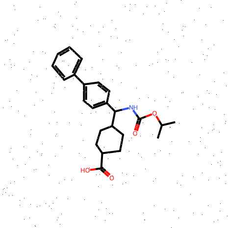 CC(C)OC(=O)NC(c1ccc(-c2ccccc2)cc1)C1CCC(C(=O)O)CC1